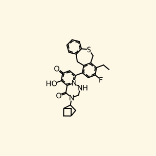 CCc1c(F)cc(-c2cc(=O)c(O)c3n2NCN(C2CC4CC2C4)C3=O)c2c1CSc1ccccc1C2